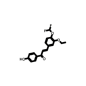 CCOc1cc(C=CC(=O)c2ccc(O)cc2)ccc1OC(F)F